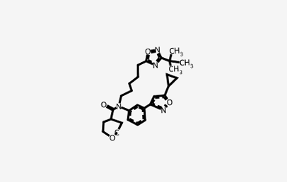 CC(C)(C)c1noc(CCCCCN(C(=O)C2CCOCC2)c2cccc(-c3cc(C4CC4)on3)c2)n1